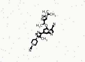 Cc1c(-c2cc(OC(C)c3cn(C(C)C)nn3)n3c(C#N)cnc3c2)nnn1C1CCN(C#N)CC1